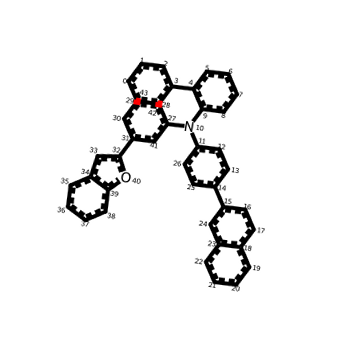 c1ccc(-c2ccccc2N(c2ccc(-c3ccc4ccccc4c3)cc2)c2cccc(-c3cc4ccccc4o3)c2)cc1